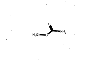 NC(=O)O[SiH3]